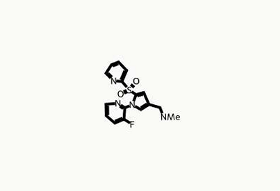 CNCc1cc(S(=O)(=O)c2ccccn2)n(-c2ncccc2F)c1